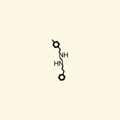 Cc1ccc(CCNCCNCCCc2ccccc2)cc1